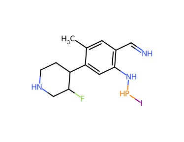 Cc1cc(C=N)c(NPI)cc1C1CCNCC1F